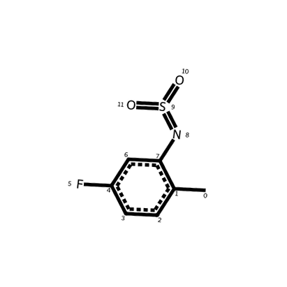 Cc1ccc(F)cc1N=S(=O)=O